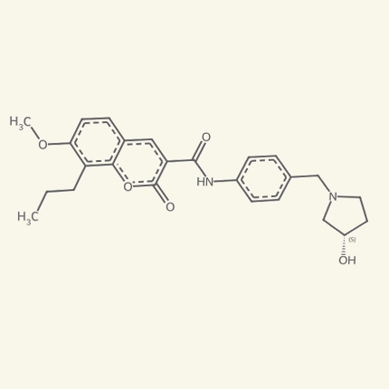 CCCc1c(OC)ccc2cc(C(=O)Nc3ccc(CN4CC[C@H](O)C4)cc3)c(=O)oc12